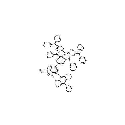 CC(C)(C)c1cc(-c2cc3c4c(c2)N(c2ccccc2)c2cc(N(c5ccccc5)c5ccccc5)ccc2B4c2ccc(N(c4ccccc4)c4ccccc4)cc2N3c2ccccc2)cc(-c2c3ccccc3c(-c3ccccc3)c3ccccc23)c1